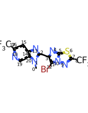 Cn1c(-c2nc3sc(C(F)(F)F)nn3c2Br)nc2cc(C(F)(F)F)ncc21